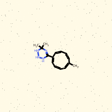 Cc1ccccc(C2=NC(C)(C)NNN2)cccc1